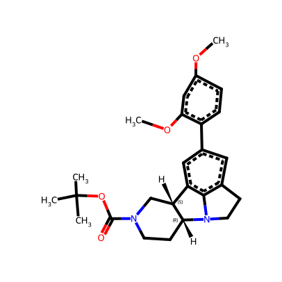 COc1ccc(-c2cc3c4c(c2)[C@H]2CN(C(=O)OC(C)(C)C)CC[C@H]2N4CC3)c(OC)c1